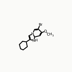 COC1=CC2NC(C3CCCCC3)=CN2C=C1Br